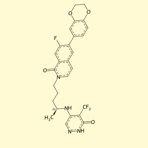 C[C@@H](CCCn1ccc2cc(-c3ccc4c(c3)OCCO4)c(F)cc2c1=O)Nc1cn[nH]c(=O)c1C(F)(F)F